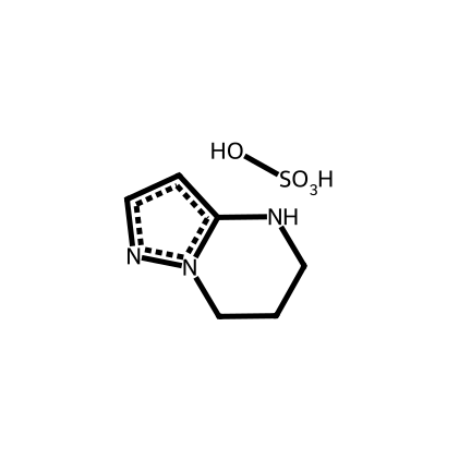 O=S(=O)(O)O.c1cc2n(n1)CCCN2